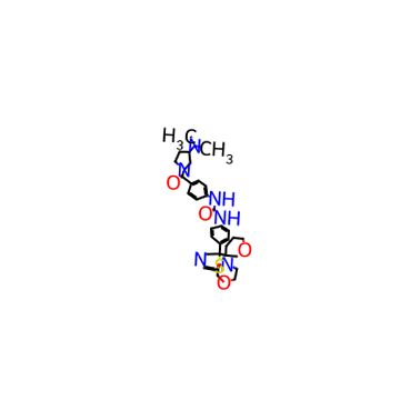 CN(C)C1CCN(C(=O)c2ccc(NC(=O)Nc3ccc(C4(C5(N6CCOCC6)CCCOC5)C=NC=CS4)cc3)cc2)C1